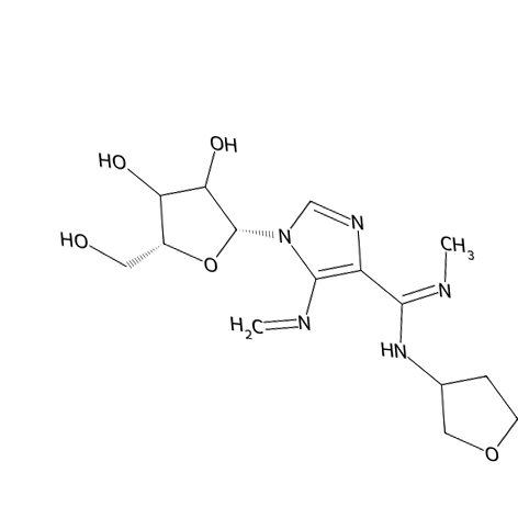 C=Nc1c(/C(=N\C)NC2CCOC2)ncn1[C@@H]1O[C@H](CO)C(O)C1O